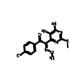 [2H]ON=C(C(=O)c1ccc(Cl)cc1)c1nc(SC)nc([2H])c1[2H]